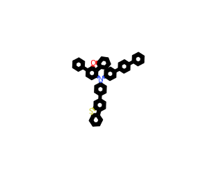 c1ccc(-c2ccc(-c3ccc(N(c4ccc(-c5ccc6c(c5)sc5ccccc56)cc4)c4ccc(-c5ccccc5)c5oc6ccccc6c45)cc3)cc2)cc1